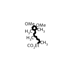 CCOC(=O)C=C(C)C=CC=C(C)C=Cc1c(C)cc(OC)c(OC)c1C